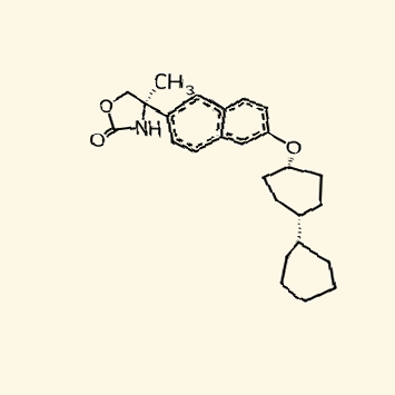 C[C@@]1(c2ccc3cc(O[C@H]4CC[C@@H](C5CCCCC5)CC4)ccc3c2)COC(=O)N1